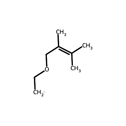 [CH2]COCC(C)=C(C)C